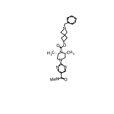 CNC(=O)c1cnc(N2C[C@@H](C)N(C(=O)OC3CC4(C3)CN(Cc3ccccc3)C4)[C@@H](C)C2)nc1